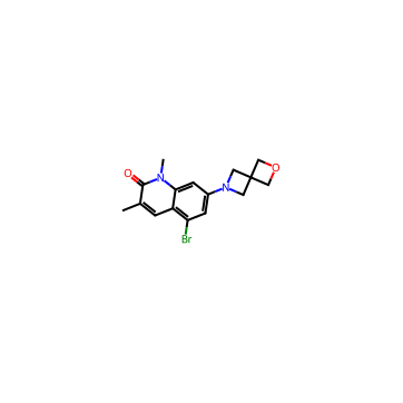 Cc1cc2c(Br)cc(N3CC4(COC4)C3)cc2n(C)c1=O